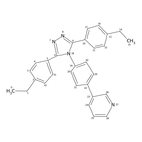 CCc1ccc(-c2nnc(-c3ccc(CC)cc3)n2-c2ccc(-c3cccnc3)cc2)cc1